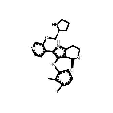 Cc1c(Cl)cccc1Nc1c(-c2ccncc2OC[C@@H]2CCCN2)[nH]c2c1C(=O)NCC2